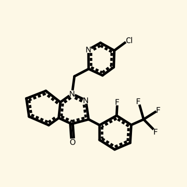 O=c1c(-c2cccc(C(F)(F)F)c2F)nn(Cc2ccc(Cl)cn2)c2ccccc12